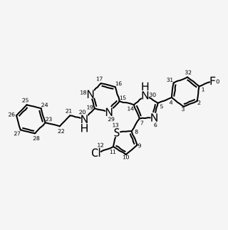 Fc1ccc(-c2nc(-c3ccc(Cl)s3)c(-c3ccnc(NCCc4ccccc4)n3)[nH]2)cc1